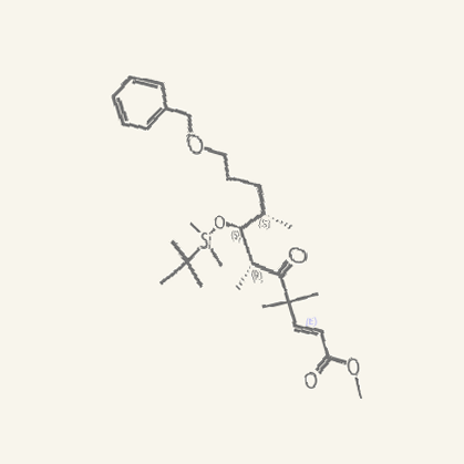 COC(=O)/C=C/C(C)(C)C(=O)[C@H](C)[C@@H](O[Si](C)(C)C(C)(C)C)[C@@H](C)CCCOCc1ccccc1